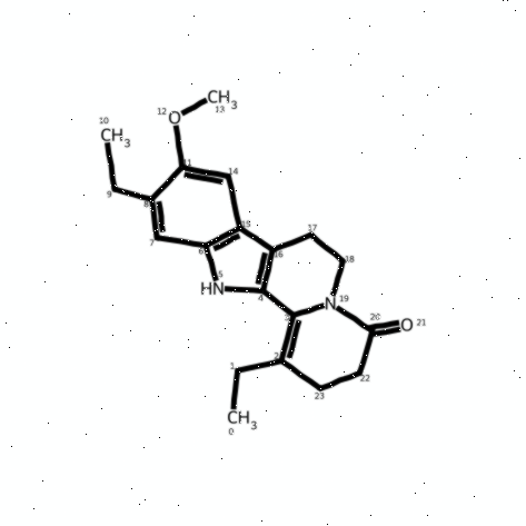 CCC1=C2c3[nH]c4cc(CC)c(OC)cc4c3CCN2C(=O)CC1